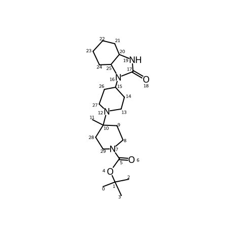 CC(C)(C)OC(=O)N1CCC(C)(N2CCC(N3C(=O)NC4CCCCC43)CC2)CC1